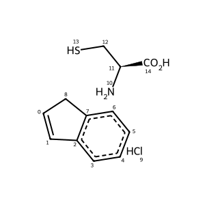 C1=Cc2ccccc2C1.Cl.N[C@@H](CS)C(=O)O